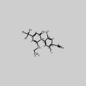 CCOc1nc(C(F)(F)F)cc(=O)n1-c1cc(F)c(C#N)cc1F